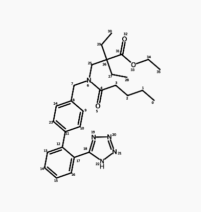 CCCCC(=O)N(Cc1ccc(-c2ccccc2-c2nnn[nH]2)cc1)CC(CC)(CC)C(=O)OCC